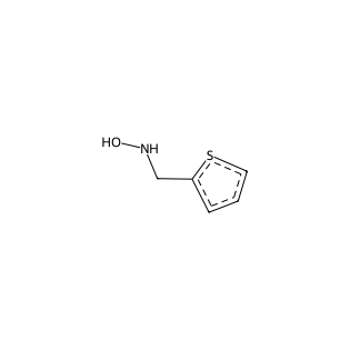 ONCc1cccs1